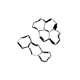 c1cc2ccc3cccc4ccc(c1)c2c34.c1ccc2cc3ccccc3cc2c1